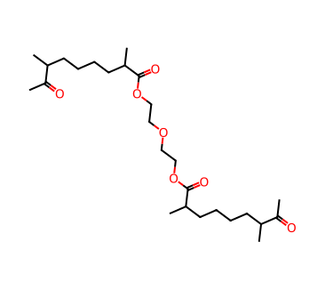 CC(=O)C(C)CCCCC(C)C(=O)OCCOCCOC(=O)C(C)CCCCC(C)C(C)=O